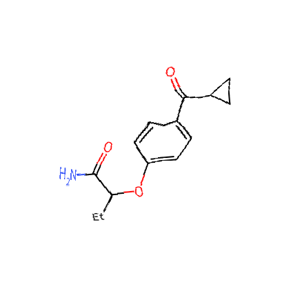 CCC(Oc1ccc(C(=O)C2CC2)cc1)C(N)=O